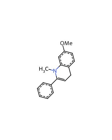 COc1ccc2c(c1)N(C)C(c1ccccc1)=CC2